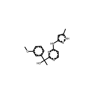 COc1cccc(C(C)(O)c2nccc(Nc3cc(C)[nH]n3)n2)c1